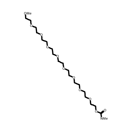 CNC(=O)OCCOCCOCCOCCOCCOCCOCCOCCOCCOC